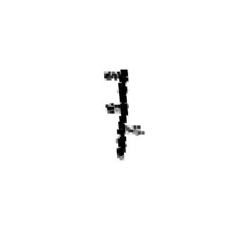 CCCCCCCCC1(CCCCCCC)c2cc(-c3ccc(-c4ccc5c(c4)C(CCCCCCCC)(CCCCCCCC)c4cc(-c6ccc(-c7ccc8c(c7)C(C)(C)c7cc(-c9ccc%10c(c9)C(CCCCCCCC)(CCCCCCCC)c9ccccc9-%10)ccc7-8)cc6)ccc4-5)cc3)ccc2-c2ccc(-c3ccc4c(c3)C(C)(C)c3cc(-c5ccc(Cl)cc5)ccc3-4)cc21